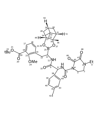 CCN1CCN(C(=O)NC(C(=O)NC(Cc2cccc(C(=O)OC(C)(C)C)c2OC)B2O[C@@H]3C[C@@H]4C[C@@H](C4(C)C)[C@]3(C)O2)c2ccc(I)cc2)C(=O)C1=O